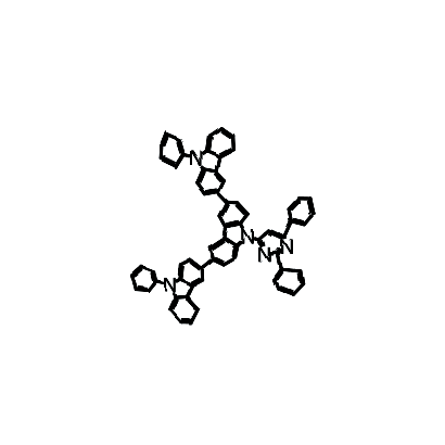 c1ccc(-c2cc(-n3c4ccc(-c5ccc6c(c5)c5ccccc5n6-c5ccccc5)cc4c4cc(-c5ccc6c(c5)c5ccccc5n6-c5ccccc5)ccc43)nc(-c3ccccc3)n2)cc1